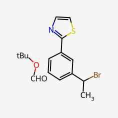 CC(Br)c1cccc(-c2nccs2)c1.CC(C)(C)OC=O